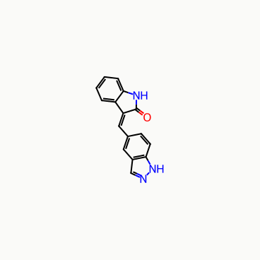 O=C1Nc2ccccc2C1=Cc1ccc2[nH]ncc2c1